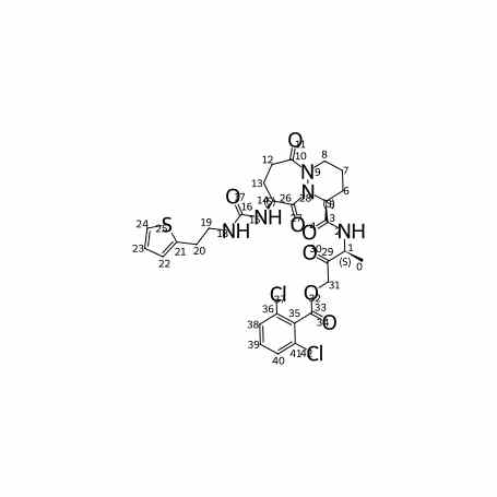 C[C@H](NC(=O)[C@@H]1CCCN2C(=O)CC[C@H](NC(=O)NCCc3cccs3)C(=O)N12)C(=O)COC(=O)c1c(Cl)cccc1Cl